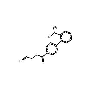 C=CCOC(=O)c1cnc(-c2ccccc2C(C)O)nc1